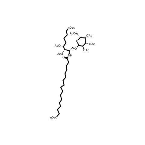 CCCCCCCCCCCCCCCCCCCCCCCCCC(=O)N[C@@H](CO[C@H]1O[C@H](COC(C)=O)[C@H](OC(C)=O)[C@H](OC(C)=O)[C@H]1OC(C)=O)[C@H](OC(C)=O)[C@@H](CCCCCCCCCCCCCC)OC(C)=O